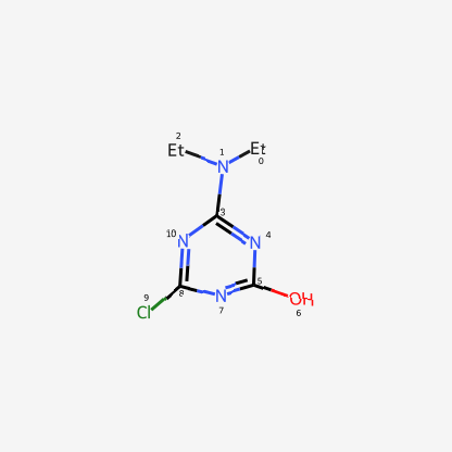 CCN(CC)c1nc(O)nc(Cl)n1